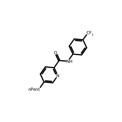 CCCCCc1ccc(C(=O)Nc2ccc(C(F)(F)F)cc2)nc1